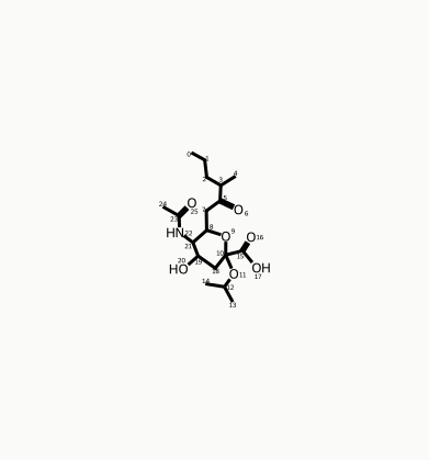 CCCC(C)C(=O)CC1OC(OC(C)C)(C(=O)O)CC(O)C1NC(C)=O